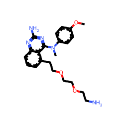 COc1ccc(N(C)c2nc(N)nc3cccc(CCOCCOCCN)c23)cc1